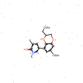 COCC1COc2cc(SC)cc(-c3cc(C)c(=O)n(C)c3)c2O1